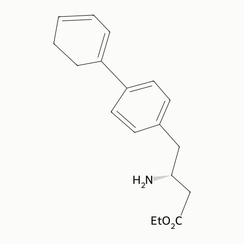 CCOC(=O)C[C@H](N)Cc1ccc(C2=CC=CCC2)cc1